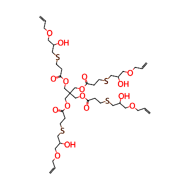 C=CCOCC(O)CSCCC(=O)OCC(COC(=O)CCSCC(O)COCC=C)(COC(=O)CCSCC(O)COCC=C)COC(=O)CCSCC(O)COCC=C